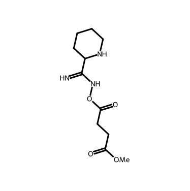 COC(=O)CCC(=O)ONC(=N)C1CCCCN1